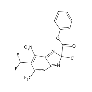 O=C(Oc1ccccc1)C1(Cl)N=c2cc(C(F)(F)F)c(C(F)F)c([N+](=O)[O-])c2=N1